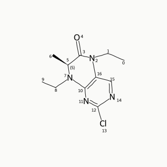 CCN1C(=O)[C@H](C)N(CC)c2nc(Cl)ncc21